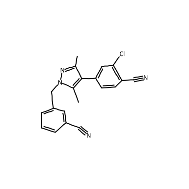 Cc1nn(Cc2cccc(C#N)c2)c(C)c1-c1ccc(C#N)c(Cl)c1